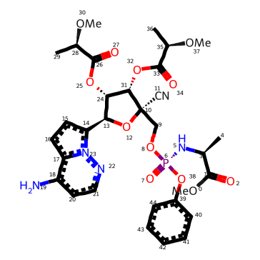 COC(=O)[C@H](C)N[P@](=O)(OC[C@@]1(C#N)O[C@@H](c2ccc3c(N)ccnn23)[C@H](OC(=O)[C@@H](C)OC)[C@@H]1OC(=O)[C@@H](C)OC)Oc1ccccc1